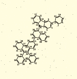 c1ccc(-c2ccc3c(c2)c2ccccc2n3-c2ccc(-c3ccc4c(c3)c3ccccc3c3c5ccccc5c5ccccc5c43)c3ccccc23)cc1